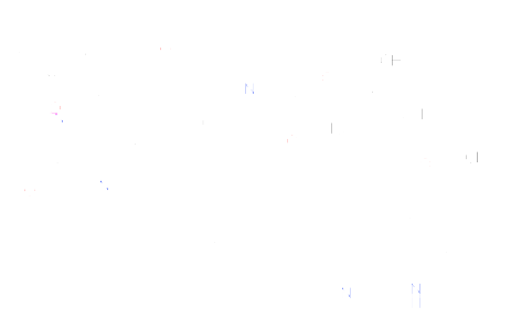 COc1c[nH]c2ncc(-c3cc4c(c([C@@H]5COCCN5C(=O)OC(C)(C)C)c3)CN(C(=O)N3CC5CCC(C3)C5=O)CC4)cc12